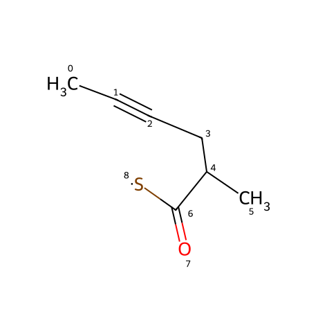 CC#CCC(C)C(=O)[S]